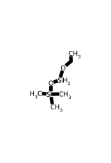 CCO[SiH2]O[Si](C)(C)C